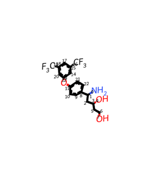 NC(CC(O)CCO)c1ccc(Oc2cc(C(F)(F)F)cc(C(F)(F)F)c2)cc1